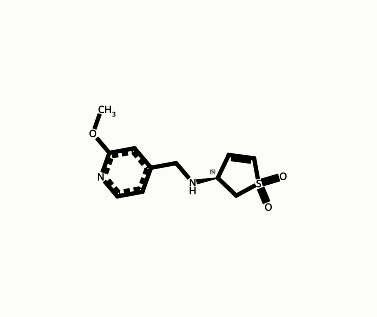 COc1cc(CN[C@H]2C=CS(=O)(=O)C2)ccn1